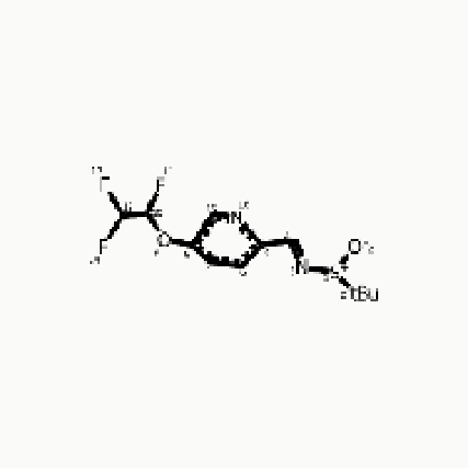 CC(C)(C)[S+]([O-])N=Cc1ccc(OC(F)C(F)F)cn1